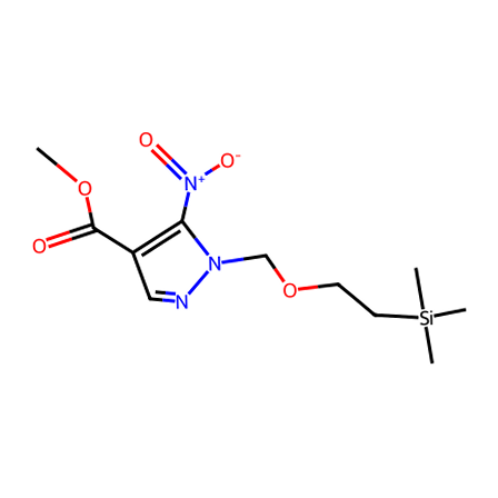 COC(=O)c1cnn(COCC[Si](C)(C)C)c1[N+](=O)[O-]